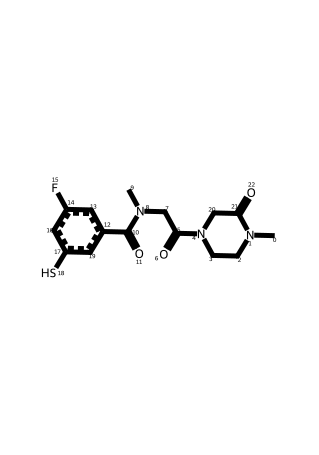 CN1CCN(C(=O)CN(C)C(=O)c2cc(F)cc(S)c2)CC1=O